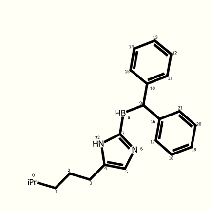 CC(C)CCCc1cnc(BC(c2ccccc2)c2ccccc2)[nH]1